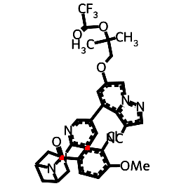 COc1ccc(C(=O)N2C3CC2CN(c2ccc(-c4cc(OCC(C)(C)OC(=O)C(F)(F)F)cn5ncc(C#N)c45)cn2)C3)cc1Cl